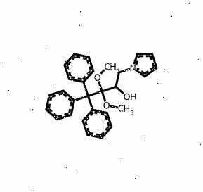 COC(OC)(C(O)Cn1cccc1)C(c1ccccc1)(c1ccccc1)c1ccccc1